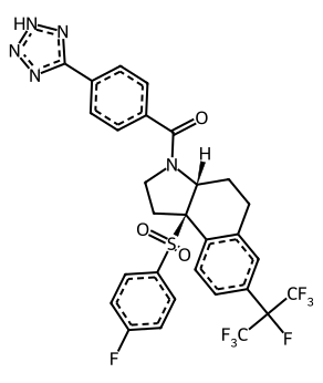 O=C(c1ccc(-c2nn[nH]n2)cc1)N1CC[C@@]2(S(=O)(=O)c3ccc(F)cc3)c3ccc(C(F)(C(F)(F)F)C(F)(F)F)cc3CC[C@@H]12